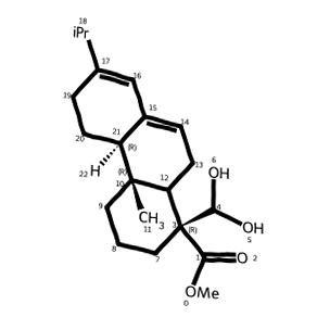 COC(=O)[C@]1(C(O)O)CCC[C@@]2(C)C1CC=C1C=C(C(C)C)CC[C@@H]12